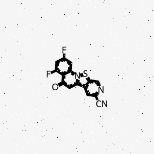 N#Cc1cc2c(cn1)sn1c3cc(F)cc(F)c3c(=O)cc21